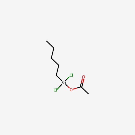 CCCC[CH2][Sn]([Cl])([Cl])[O]C(C)=O